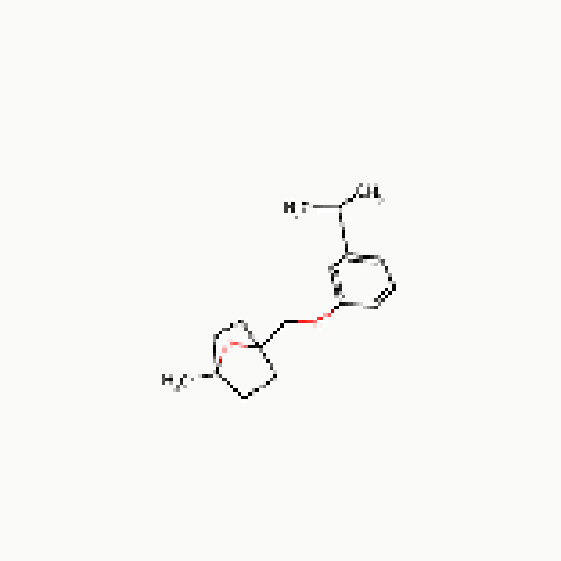 CC(C)c1cccc(OCC23CCC(C)(CC2)O3)c1